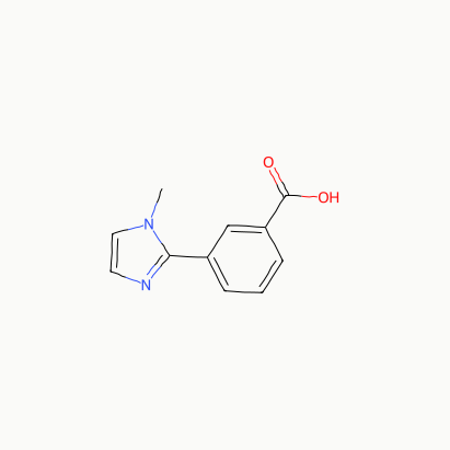 Cn1ccnc1-c1cccc(C(=O)O)c1